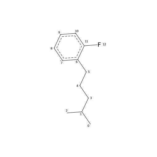 CC(C)CCCc1[c]cccc1F